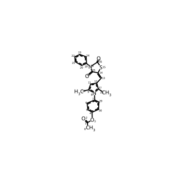 CC(=O)Oc1ccc(-n2c(C)cc(C=C3SC(=O)N(c4ccccc4)C3=O)c2C)cc1